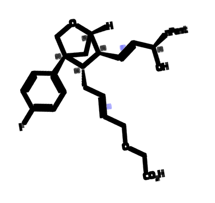 CCCCC[C@@H](O)/C=C/[C@@H]1[C@@H]2C[C@@](c3ccc(F)cc3)(CO2)[C@H]1C/C=C/COCC(=O)O